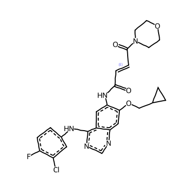 O=C(/C=C/C(=O)N1CCOCC1)Nc1cc2c(Nc3ccc(F)c(Cl)c3)ncnc2cc1OCC1CC1